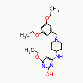 CCOc1cc(CN2CCC(Nc3cc(OCC)nc(O)n3)CC2)cc(OCC)c1